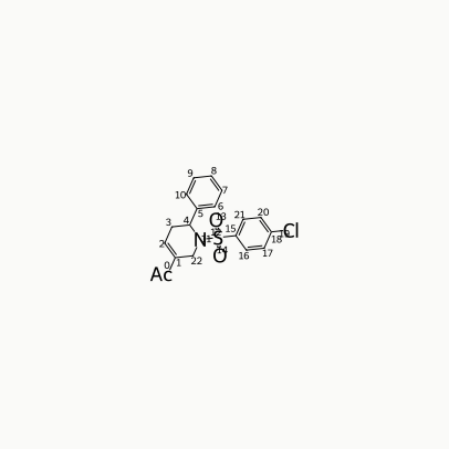 CC(=O)C1=CCC(c2ccccc2)N(S(=O)(=O)c2ccc(Cl)cc2)C1